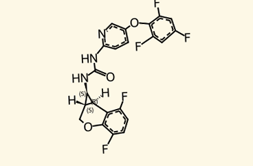 O=C(Nc1ccc(Oc2c(F)cc(F)cc2F)cn1)N[C@@H]1[C@H]2COc3c(F)ccc(F)c3[C@@H]21